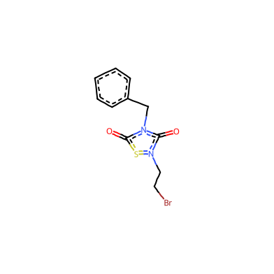 O=c1sn(CCBr)c(=O)n1Cc1ccccc1